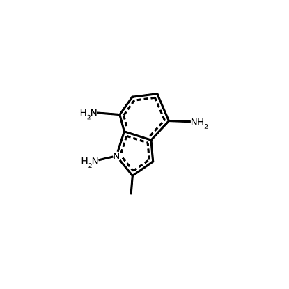 Cc1cc2c(N)ccc(N)c2n1N